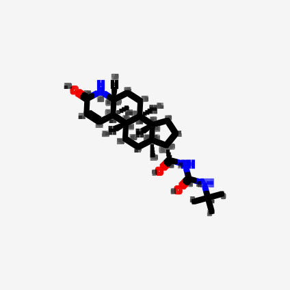 CC(C)(C)NC(=O)NC(=O)[C@H]1CC[C@H]2[C@@H]3CC[C@H]4NC(=O)C=C[C@]4(C)[C@H]3CC[C@]12C